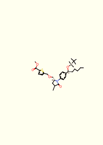 CCCCC[C@H](O[Si](C)(C)C(C)(C)C)c1ccc(N2C(=O)C(C)C[C@@H]2COCc2ccc(C(=O)OC)s2)cc1